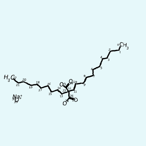 CCCCCCCCCCCCC(CCCCCCCCCC)(C(=O)[O-])C(=O)[O-].[Li+].[Na+]